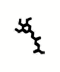 COc1cc(C=CC(=O)C=CC(=O)O)cc(OC)c1OC